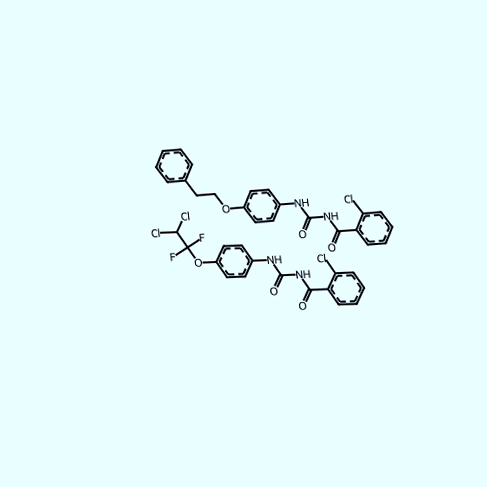 O=C(NC(=O)c1ccccc1Cl)Nc1ccc(OC(F)(F)C(Cl)Cl)cc1.O=C(NC(=O)c1ccccc1Cl)Nc1ccc(OCCc2ccccc2)cc1